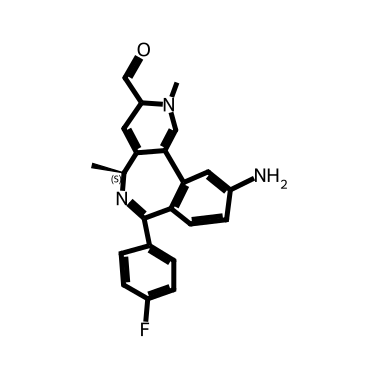 C[C@@H]1N=C(c2ccc(F)cc2)c2ccc(N)cc2C2=CN(C)C(C=O)C=C21